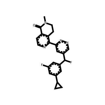 CN1CCc2c(ccnc2-c2cc(C(F)c3cc(F)cc(C4CC4)c3)cnn2)C1=O